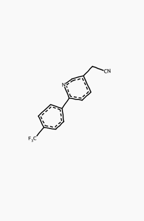 N#CCc1ccc(-c2ccc(C(F)(F)F)cc2)nc1